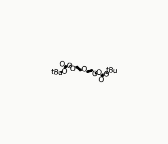 CC(C)(C)OC(=O)OOCCOCCOOC(=O)OC(C)(C)C